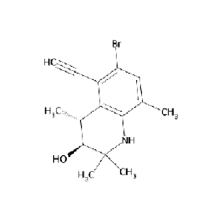 C#Cc1c(Br)cc(C)c2c1[C@@H](C)[C@H](O)C(C)(C)N2